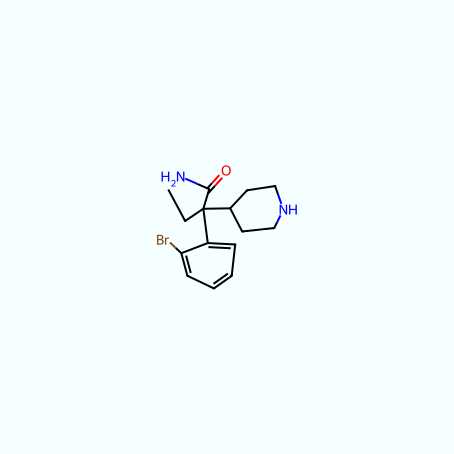 CCC(C(N)=O)(c1ccccc1Br)C1CCNCC1